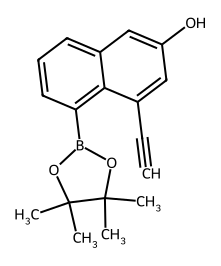 C#Cc1cc(O)cc2cccc(B3OC(C)(C)C(C)(C)O3)c12